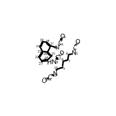 N=C=O.O=C=NCCCCCN=C=O.O=C=Nc1cccc2ccccc12